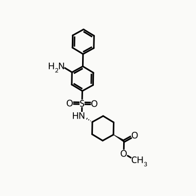 COC(=O)[C@H]1CC[C@H](NS(=O)(=O)c2ccc(-c3ccccc3)c(N)c2)CC1